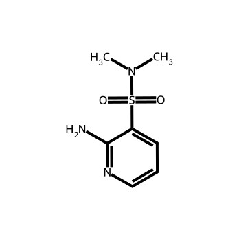 CN(C)S(=O)(=O)c1cccnc1N